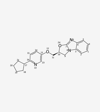 c1ccc2c(c1)nc1n2C[C@@H](COc2ccc(C3CCCC3)nc2)O1